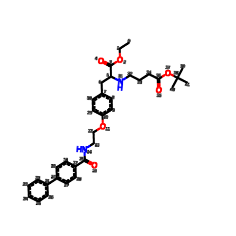 CCOC(=O)C(Cc1ccc(OCCNC(=O)c2ccc(-c3ccccc3)cc2)cc1)NCCCC(=O)OC(C)(C)C